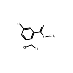 COC(=O)c1cccc(Cl)c1.ClCCl